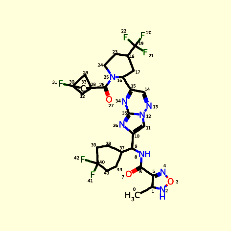 CC1NON=C1C(=O)NC(c1cn2ncc(C3CC(C(F)(F)F)CCN3C(=O)C34CC(F)(C3)C4)nc2n1)C1CCC(F)(F)CC1